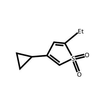 CCC1=CC(C2CC2)=CS1(=O)=O